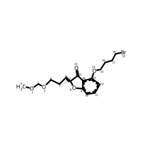 COCOCC/C=C1\Oc2cccc(OCCCCBr)c2C1=O